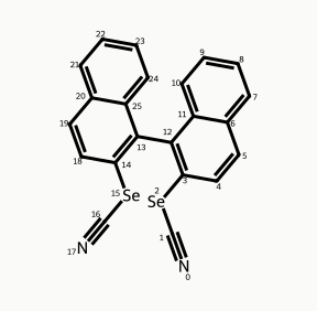 N#C[Se]c1ccc2ccccc2c1-c1c([Se]C#N)ccc2ccccc12